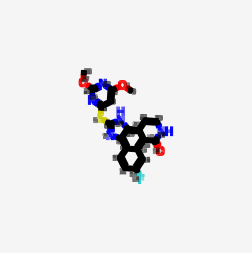 COc1cc(Sc2nc3c4ccc(F)cc4c4c(=O)[nH]ccc4c3[nH]2)nc(OC)n1